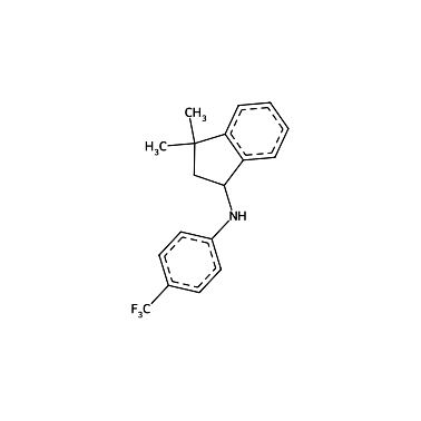 CC1(C)CC(Nc2ccc(C(F)(F)F)cc2)c2ccccc21